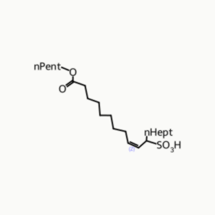 CCCCCCCC(/C=C\CCCCCCCC(=O)OCCCCC)S(=O)(=O)O